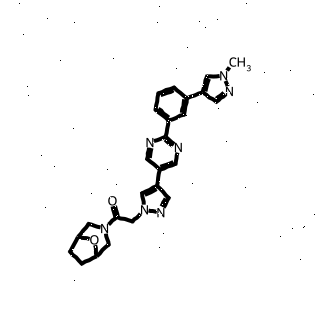 Cn1cc(-c2cccc(-c3ncc(-c4cnn(CC(=O)N5CC6CCC(C5)O6)c4)cn3)c2)cn1